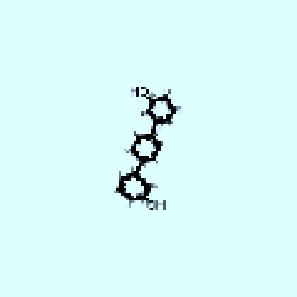 Oc1cccc(-c2ccc(-c3cccc(O)c3)cc2)c1